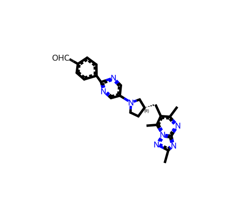 Cc1nc2nc(C)c(C[C@@H]3CCN(c4cnc(-c5ccc(C=O)cc5)nc4)C3)c(C)n2n1